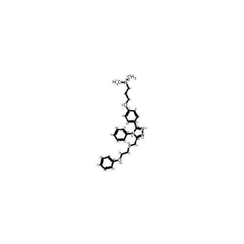 CN(C)CCCOc1ccc(-c2nnc(CSCCOc3ccccc3)n2-c2ccccc2)cc1